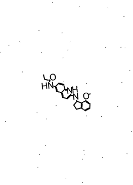 CCC(=O)Nc1ccc2nc(NC3CCc4cccc(OC)c43)ccc2c1